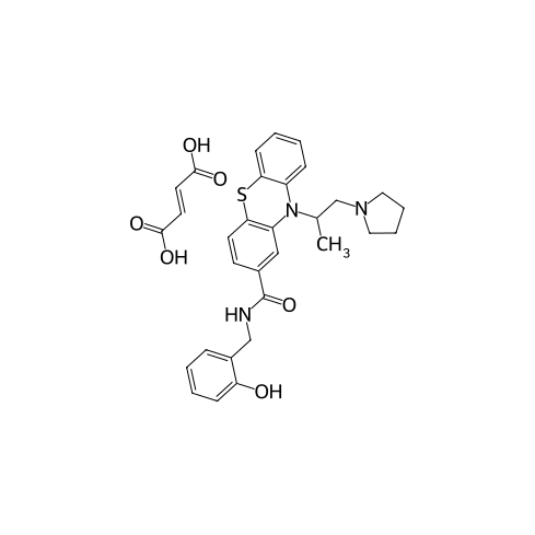 CC(CN1CCCC1)N1c2ccccc2Sc2ccc(C(=O)NCc3ccccc3O)cc21.O=C(O)C=CC(=O)O